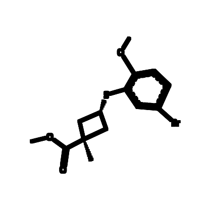 COc1ccc(Br)cc1S[C@H]1C[C@](C)(C(=O)OC)C1